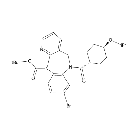 CC(C)O[C@H]1CC[C@H](C(=O)N2Cc3cccnc3N(C(=O)OC(C)(C)C)c3ccc(Br)cc32)CC1